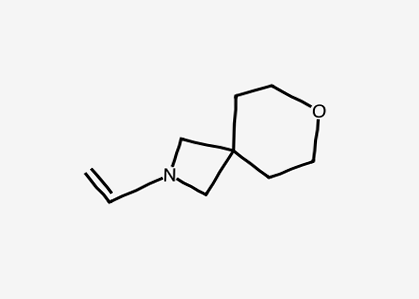 C=CN1CC2(CCOCC2)C1